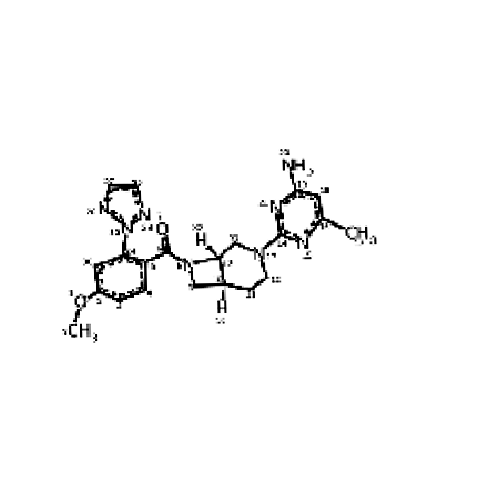 COc1ccc(C(=O)N2C[C@H]3CCN(c4nc(C)cc(N)n4)C[C@H]32)c(-n2nccn2)c1